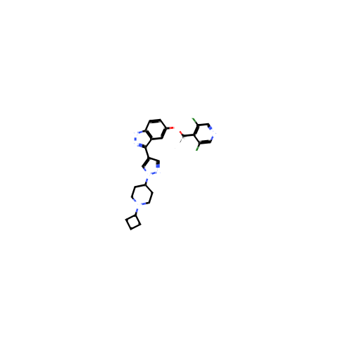 C[C@@H](Oc1ccc2[nH]nc(-c3cnn(C4CCN(C5CCC5)CC4)c3)c2c1)c1c(Cl)cncc1Cl